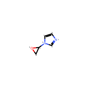 c1cn(C2CO2)cn1